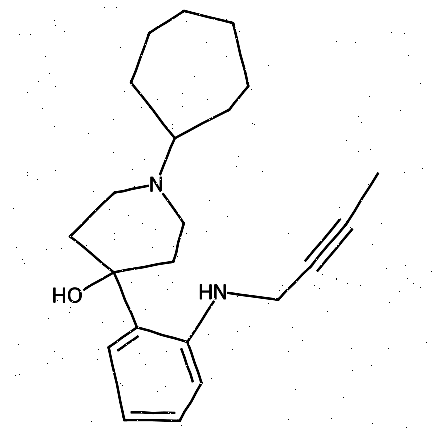 CC#CCNc1ccccc1C1(O)CCN(C2CCCCCC2)CC1